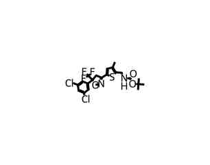 Cc1cc(C2=NOC(c3cc(Cl)cc(Cl)c3)(C(F)(F)F)C2)sc1CNC(=O)OC(C)(C)C